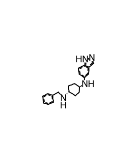 c1ccc(CN[C@H]2CC[C@H](Nc3ccc4[nH]ncc4c3)CC2)cc1